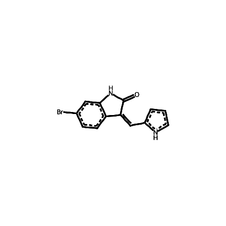 O=C1Nc2cc(Br)ccc2/C1=C/c1ccc[nH]1